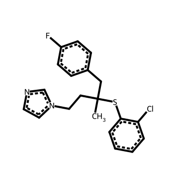 CC(CCn1ccnc1)(Cc1ccc(F)cc1)Sc1ccccc1Cl